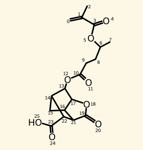 C=C(C)C(=O)OC(C)CCC(=O)OC1C2CC3C1OC(=O)C3C2C(=O)O